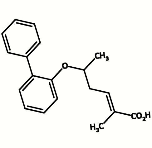 CC(=CCC(C)Oc1ccccc1-c1ccccc1)C(=O)O